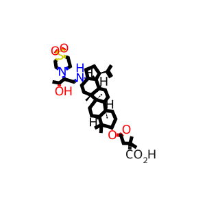 C=C(C)[C@@H]1CC[C@]2(NCC(C(C)O)N3CCS(=O)(=O)CC3)CC[C@]3(C)[C@H](CC[C@@H]4[C@@]5(C)CC[C@H](OC(=O)CC(C)(C)C(=O)O)C(C)(C)[C@@H]5CC[C@]43C)[C@@H]12